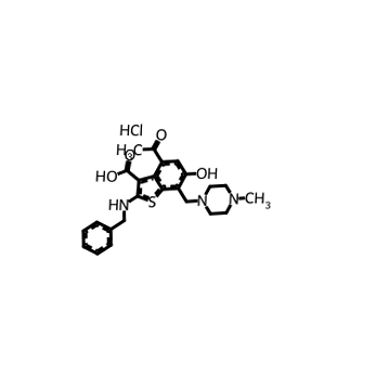 CC(=O)c1cc(O)c(CN2CCN(C)CC2)c2sc(NCc3ccccc3)c(C(=O)O)c12.Cl